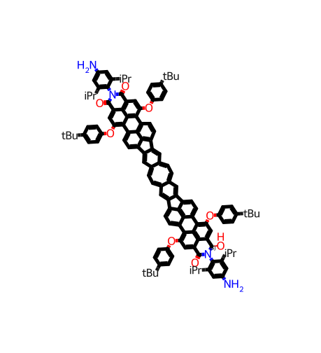 CC(C)c1cc(N)cc(C(C)C)c1N1C(=O)c2cc(Oc3ccc(C(C)(C)C)cc3)c3c4ccc5c6cc7ccc8cc9c(cc8ccc7cc6c6ccc(c7c(Oc8ccc(C(C)(C)C)cc8)cc(c2c37)C1=O)c4c56)c1ccc2c3c(Oc4ccc(C(C)(C)C)cc4)cc4c5c(cc(Oc6ccc(C(C)(C)C)cc6)c(c6ccc9c1c62)c53)C(=O)N(c1c(C(C)C)cc(N)cc1C(C)C)[C@H]4O